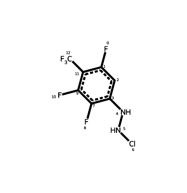 Fc1cc(NNCl)c(F)c(F)c1C(F)(F)F